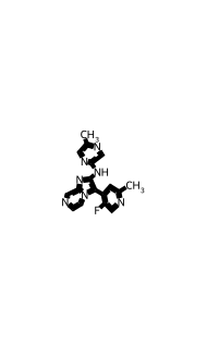 Cc1cnc(Nc2nc3cnccn3c2-c2cc(C)ncc2F)cn1